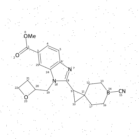 COC(=O)c1ccc2nc(C3CC34CCB(C#N)CC4)n(CC3CCO3)c2c1